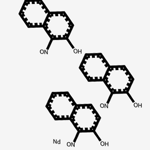 O=Nc1c(O)ccc2ccccc12.O=Nc1c(O)ccc2ccccc12.O=Nc1c(O)ccc2ccccc12.[Nd]